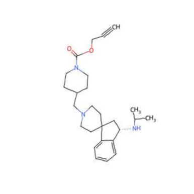 C#CCOC(=O)N1CCC(CN2CCC3(CC2)C[C@H](NC(C)C)c2ccccc23)CC1